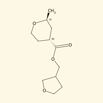 C[C@H]1C[C@H](C(=O)OCC2CCOC2)CCO1